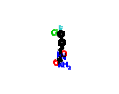 CC(C)(C(N)=O)c1noc([CH]Cc2ccc(-c3ccc(F)c(Cl)c3)cc2)n1